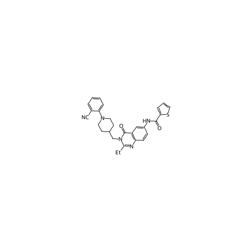 CCc1nc2ccc(NC(=O)c3cccs3)cc2c(=O)n1CC1CCN(c2ccccc2C#N)CC1